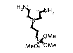 CO[Si](CCCN(CCN)CCN)(OC)OC